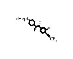 CCCCCCCC1CCC(/C(F)=C(\F)c2ccc(C#CC(F)(F)F)c(F)c2)CC1